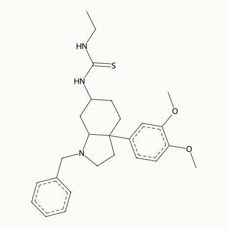 CCNC(=S)NC1CCC2(c3ccc(OC)c(OC)c3)CCN(Cc3ccccc3)C2C1